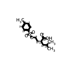 Cc1ccc(S(=O)(=O)OCC[C@H](CC(C)C)C(=O)O)cc1